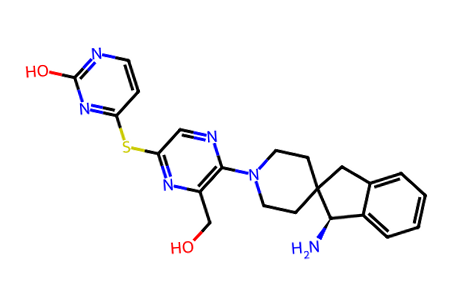 N[C@@H]1c2ccccc2CC12CCN(c1ncc(Sc3ccnc(O)n3)nc1CO)CC2